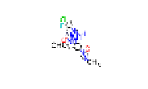 CN1CCN(c2cccc(CC(C=O)NC(=O)/C=C/c3c(N(C=N)N=N)ccc(Cl)c3F)c2)C(=O)C1